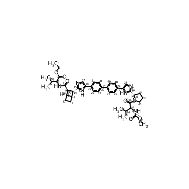 CCOC(=O)[C@@H](NC(=O)[C@@H]1[C@@H]2CCC2[C@H]1c1ncc(-c2ccc(-c3ccc(-c4cnc([C@@H]5CCCN5C(=O)[C@@H](NC(=O)OC)C(C)C)[nH]4)cc3)cc2)[nH]1)C(C)C